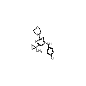 NC1(c2cc(Nc3ccc(Cl)cc3)nc(N3CCOCC3)n2)CC1